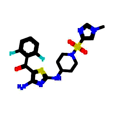 Cn1cnc(S(=O)(=O)N2CCC(Nc3nc(N)c(C(=O)c4c(F)cccc4F)s3)CC2)c1